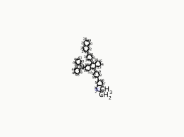 C=C/C=C\c1cc(-c2ccc(-c3c4ccccc4c(-c4ccc(-c5ccc6ccccc6c5)cc4)c4cc(-n5c6ccccc6c6ccccc65)ccc34)cc2)ccc1C